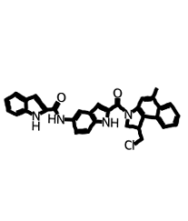 Cc1cc2c(c3ccccc13)C(CCl)CN2C(=O)c1cc2cc(NC(=O)c3cc4ccccc4[nH]3)ccc2[nH]1